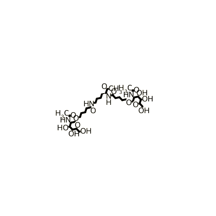 CC(=O)NC1C(OCCCCC(=O)NCCCC[C@H](NC(=O)CCCCOC2OC(CO)C(O)C(O)C2NC(C)=O)C(C)=O)OC(CO)C(O)C1O